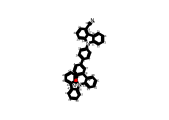 N#Cc1ccc(-c2ccc(-n3c4ccccc4c4c(C#N)cccc43)cc2)cc1-c1ccccc1-n1c2ccccc2c2ccccc21